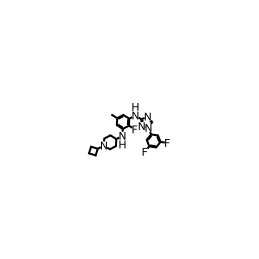 Cc1cc(Nc2ncn(-c3cc(F)cc(F)c3)n2)c(F)c(NC2CCN(C3CCC3)CC2)c1